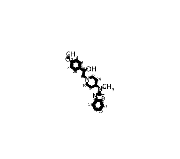 COc1ccc(C(O)CN2CCC(N(C)c3nc4ccccc4s3)CC2)cc1